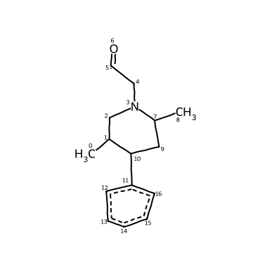 CC1CN(C[C]=O)C(C)CC1c1ccccc1